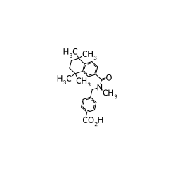 CN(Cc1ccc(C(=O)O)cc1)C(=O)c1ccc2c(c1)C(C)(C)CCC2(C)C